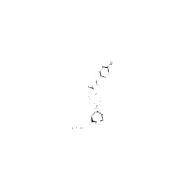 COc1cc(N2CCN(C(=O)/C=C/c3ccc(Br)cc3)CC2)ccn1